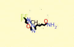 Cn1nc(C(F)(F)F)cc1Oc1cncc(CCCCC(N)=O)n1